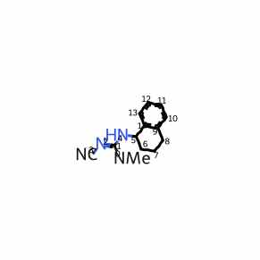 CN/C(=N\C#N)NC1CCCc2ccccc21